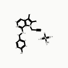 C#CCn1c(C)c(C)c2ccnc(OCc3ccc(F)cc3)c21.CS(=O)(=O)O